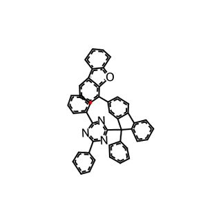 c1ccc(-c2nc(-c3ccccc3)nc(C3(c4ccccc4)c4ccccc4-c4ccc(-c5cccc6c5oc5ccccc56)cc43)n2)cc1